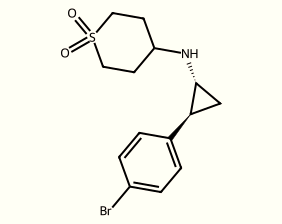 O=S1(=O)CCC(N[C@@H]2C[C@H]2c2ccc(Br)cc2)CC1